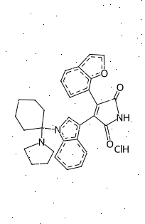 Cl.O=C1NC(=O)C(c2cccc3ccoc23)=C1c1cn(C2(N3CCCC3)CCCCC2)c2ccccc12